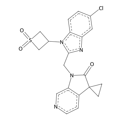 O=C1N(Cc2nc3cc(Cl)ccc3n2C2CS(=O)(=O)C2)c2cnccc2C12CC2